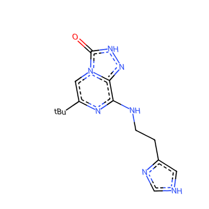 CC(C)(C)c1cn2c(=O)[nH]nc2c(NCCc2c[nH]cn2)n1